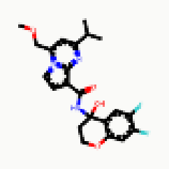 COCc1cc(C(C)C)nc2c(C(=O)NC3(O)CCOc4cc(F)c(F)cc43)ccn12